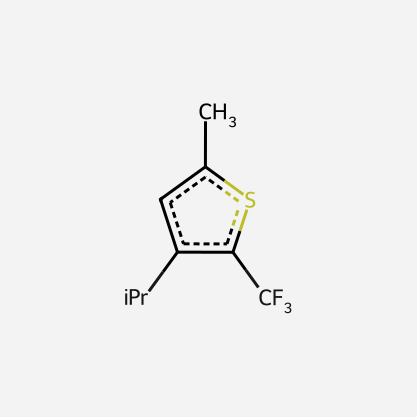 Cc1cc(C(C)C)c(C(F)(F)F)s1